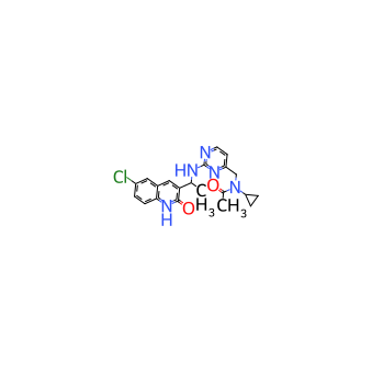 CC(=O)N(Cc1ccnc(NC(C)c2cc3cc(Cl)ccc3[nH]c2=O)n1)C1CC1